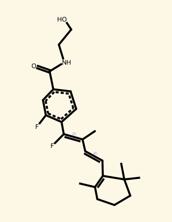 CC1=C(/C=C/C(C)=C(\F)c2ccc(C(=O)NCCO)cc2F)C(C)(C)CCC1